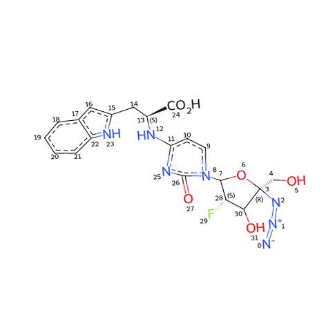 [N-]=[N+]=N[C@]1(CO)OC(n2ccc(N[C@@H](Cc3cc4ccccc4[nH]3)C(=O)O)nc2=O)[C@@H](F)C1O